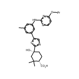 Cc1cc(Nc2nccc(OC(C)C)n2)cc(-c2cnc([C@@]3(O)CC[C@H](C(=O)O)C(C)(C)C3)s2)c1